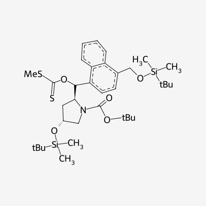 CSC(=S)OC(c1ccc(CO[Si](C)(C)C(C)(C)C)c2ccccc12)[C@@H]1C[C@@H](O[Si](C)(C)C(C)(C)C)CN1C(=O)OC(C)(C)C